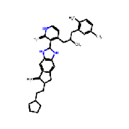 C=C1NC=CC(CC(C)Cc2cc(C)ccc2C)=C1C1Nc2cc3c(cc2N1)C(=C)C(CCC1CCCC1)C3